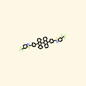 FC(F)(F)c1ccc2nc(-c3ccc(-c4c5ccccc5c(-c5c6ccccc6c(-c6ccc(-c7nc8ccc(C(F)(F)F)cc8s7)cc6)c6ccccc56)c5ccccc45)cc3)sc2c1